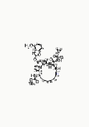 Cc1cccc2oc(O[C@@H]3C[C@H]4C(=O)N[C@]5(C(=O)NS(=O)(=O)C6CC6)C[C@H]5/C=C\CCCCC[C@H](NC(=O)OC(C)(C)C)C(=O)N4C3)nc12